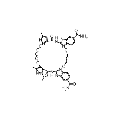 CCn1nc(C)c2c1C(=O)Nc1nc3cc(C(N)=O)ccc3n1CC=C=CCn1c(nc3cc(C(N)=O)ccc31)NC(=O)c1cc(C)nn1CCCCC2